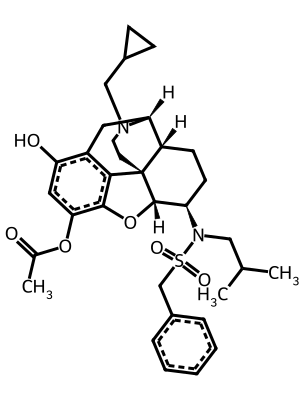 CC(=O)Oc1cc(O)c2c3c1O[C@H]1[C@H](N(CC(C)C)S(=O)(=O)Cc4ccccc4)CC[C@H]4[C@@H](C2)N(CC2CC2)CC[C@@]341